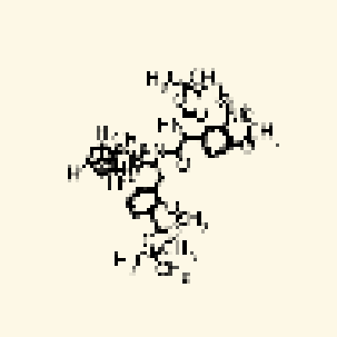 COc1ccc(C(NC(=O)OC(C)(C)C)C(=O)N[C@@H](Cc2cccc(C(=O)OC(C)(C)C)c2OC)B2O[C@@H]3C[C@@H]4C[C@@H](C4(C)C)[C@]3(C)O2)cc1[N+](=O)[O-]